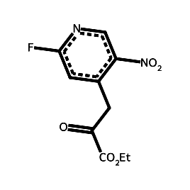 CCOC(=O)C(=O)Cc1cc(F)ncc1[N+](=O)[O-]